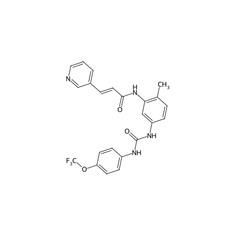 Cc1ccc(NC(=O)Nc2ccc(OC(F)(F)F)cc2)cc1NC(=O)C=Cc1cccnc1